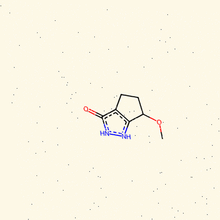 COC1CCc2c1[nH][nH]c2=O